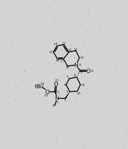 CN(C[C@H]1CC[C@H](C(=O)N2CCc3ccccc3C2)CC1)C(=O)OC(C)(C)C